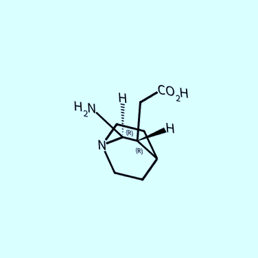 N[C@H]1[C@H](CC(=O)O)C2CCN1CC2